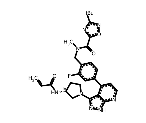 C=CC(=O)N[C@@H]1CCN(c2n[nH]c3nccc(-c4ccc(CN(C)C(=O)c5nc(C(C)(C)C)no5)c(F)c4)c23)C1